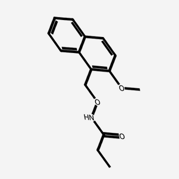 CCC(=O)NOCc1c(OC)ccc2ccccc12